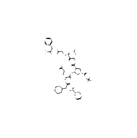 CCC[C@H](NC(=O)C1CN(C(=O)OC(C)(C)C)CC1NC(=O)[C@H](CCC(N)=O)NC(=O)[C@@H](NC(=O)c1cnccn1)C1CCCCC1)C(=O)C(=O)NCC(=O)N[C@H](C(=O)N(C)C)c1ccccc1